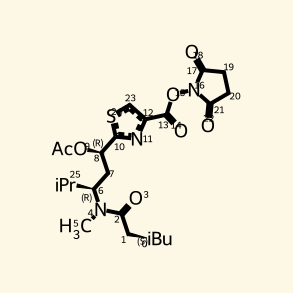 CC[C@H](C)CC(=O)N(C)[C@H](C[C@@H](OC(C)=O)c1nc(C(=O)ON2C(=O)CCC2=O)cs1)C(C)C